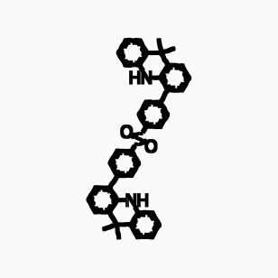 CC1(C)c2ccccc2Nc2c(-c3ccc(S(=O)(=O)c4ccc(-c5cccc6c5Nc5ccccc5C6(C)C)cc4)cc3)cccc21